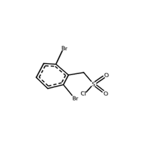 O=S(=O)(Cl)Cc1c(Br)cccc1Br